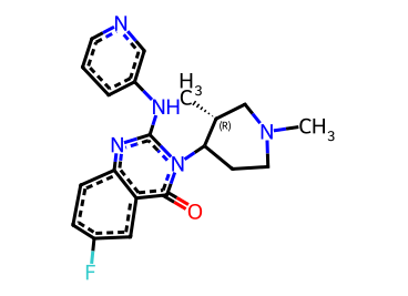 C[C@@H]1CN(C)CCC1n1c(Nc2cccnc2)nc2ccc(F)cc2c1=O